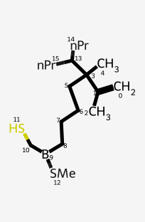 C=C(C)C(C)(CCCCB(CS)SC)C(CCC)CCC